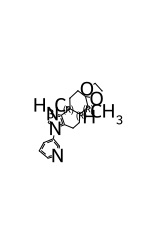 C[C@@H]1[C@H]2CCc3c(ncn3-c3cccnc3)[C@]2(C)CCC12OCCO2